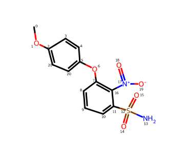 COc1ccc(Oc2cccc(S(N)(=O)=O)c2[N+](=O)[O-])cc1